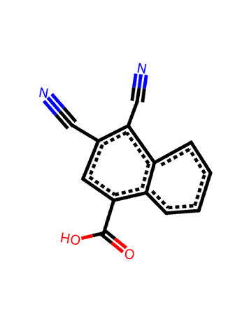 N#Cc1cc(C(=O)O)c2ccccc2c1C#N